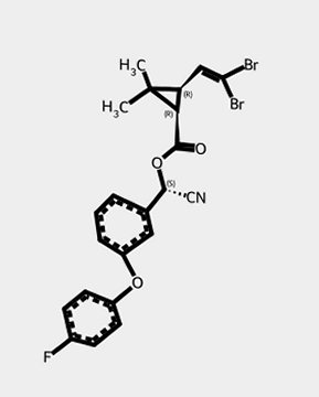 CC1(C)[C@H](C(=O)O[C@H](C#N)c2cccc(Oc3ccc(F)cc3)c2)[C@@H]1C=C(Br)Br